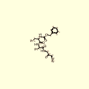 CC(C)CC(NC(=O)OCc1ccccc1)C(=O)NC(C(=O)NCC(=O)C=[N+]=[N-])C(C)C